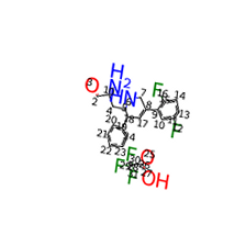 NC(C=O)CC1NCC(c2cc(F)ccc2F)=CC1c1ccccc1.O=C(O)C(F)(F)F